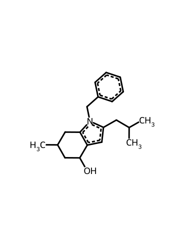 CC(C)Cc1cc2c(n1Cc1ccccc1)CC(C)CC2O